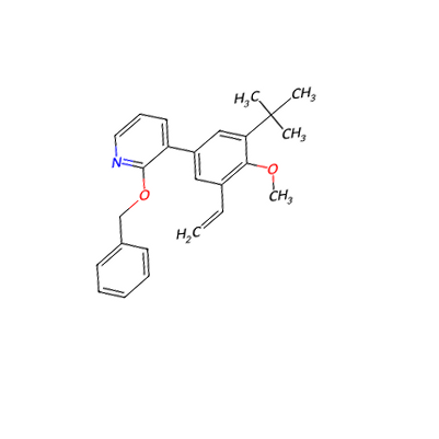 C=Cc1cc(-c2cccnc2OCc2ccccc2)cc(C(C)(C)C)c1OC